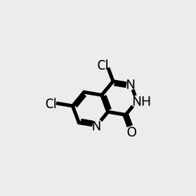 O=c1[nH]nc(Cl)c2cc(Cl)cnc12